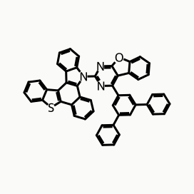 c1ccc(-c2cc(-c3ccccc3)cc(-c3nc(-n4c5ccccc5c5c6c7ccccc7sc6c6ccccc6c54)nc4oc5ccccc5c34)c2)cc1